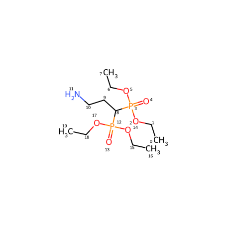 CCOP(=O)(OCC)C(CCN)P(=O)(OCC)OCC